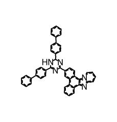 c1ccc(-c2ccc(C3=NC(c4ccc5c(c4)c4ccccc4c4nc6ccccn6c54)=NC(c4ccc(-c5ccccc5)cc4)N3)cc2)cc1